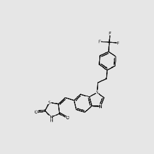 O=C1NC(=O)/C(=C\c2ccc3ncn(CCc4ccc(C(F)(F)F)cc4)c3c2)S1